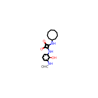 O=CNc1cccc(Nc2c(NC3CCCCCCCC3)c(=O)c2=O)c1O